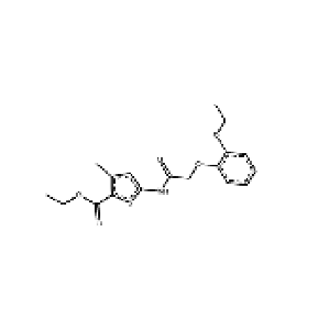 CCOC(=O)c1sc(NC(=O)COc2ccccc2OCC)cc1C